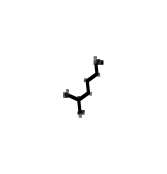 CCCCCCCC(Br)C(C)=O